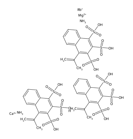 C=C(C)c1c(S(=O)(=O)O)c(S(=O)(=O)O)c(S(=O)(=O)O)c2ccccc12.C=C(C)c1c(S(=O)(=O)O)c(S(=O)(=O)O)c(S(=O)(=O)O)c2ccccc12.C=C(C)c1c(S(=O)(=O)O)c(S(=O)(=O)O)c(S(=O)(=O)O)c2ccccc12.N.N.[Ca+2].[Mg+2].[Rb+]